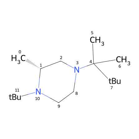 C[C@@H]1CN(C(C)(C)C(C)(C)C)CCN1C(C)(C)C